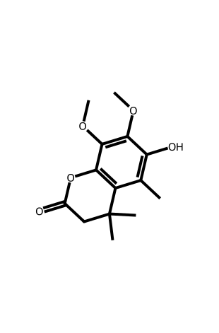 COc1c(O)c(C)c2c(c1OC)OC(=O)CC2(C)C